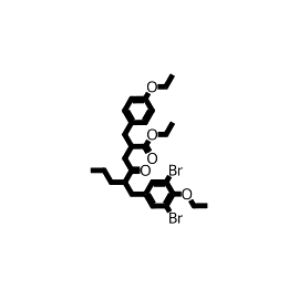 CCCC(Cc1cc(Br)c(OCC)c(Br)c1)C(=O)CC(Cc1ccc(OCC)cc1)C(=O)OCC